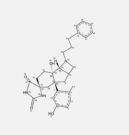 Cc1ccc(O)cc1[C@]12CC3CN(CCCc4ccccc4)[C@H]3[C@]1(O)CC[C@@]1(C2)NC(=O)NC1=O